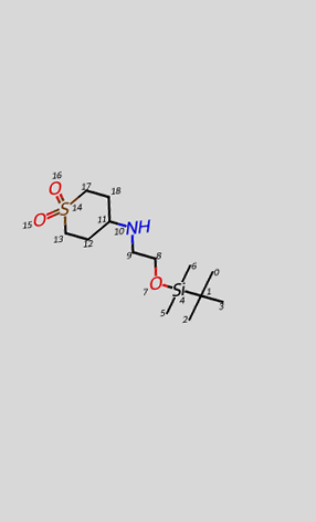 CC(C)(C)[Si](C)(C)OCCNC1CCS(=O)(=O)CC1